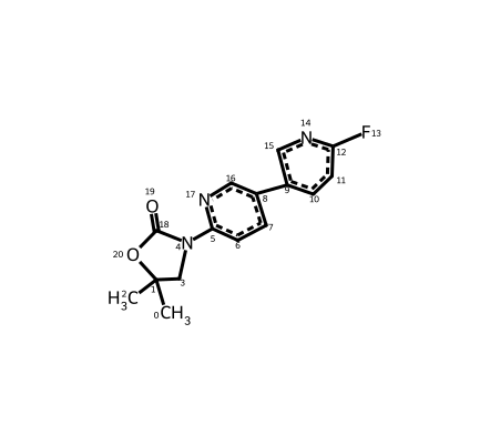 CC1(C)CN(c2ccc(-c3ccc(F)nc3)cn2)C(=O)O1